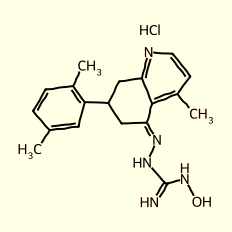 Cc1ccc(C)c(C2CC(=NNC(=N)NO)c3c(C)ccnc3C2)c1.Cl